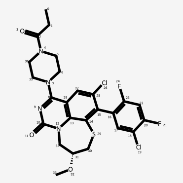 CCC(=O)N1CCN(c2nc(=O)n3c4c(c(-c5cc(Cl)c(F)cc5F)c(Cl)cc24)SC[C@H](OC)C3)CC1